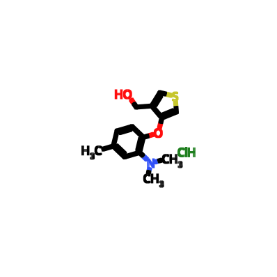 Cc1ccc(Oc2cscc2CO)c(N(C)C)c1.Cl